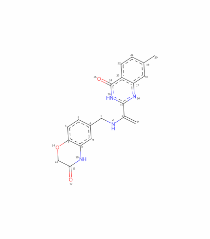 C=C(NCc1ccc2c(c1)NC(=O)CO2)c1nc2cc(C)ccc2c(=O)[nH]1